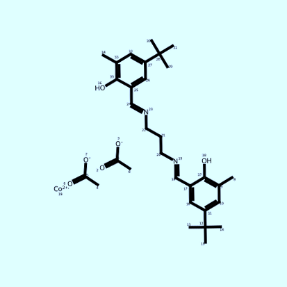 CC(=O)[O-].CC(=O)[O-].Cc1cc(C(C)(C)C)cc(C=NCCCN=Cc2cc(C(C)(C)C)cc(C)c2O)c1O.[Co+2]